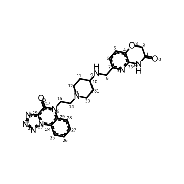 O=C1COc2ccc(CNC3CCN(CCn4c(=O)c5nnnn5c5ccccc54)CC3)nc2N1